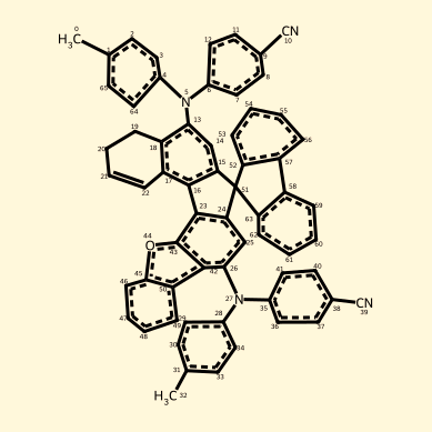 Cc1ccc(N(c2ccc(C#N)cc2)c2cc3c(c4c2CCC=C4)-c2c(cc(N(c4ccc(C)cc4)c4ccc(C#N)cc4)c4c2oc2ccccc24)C32c3ccccc3-c3ccccc32)cc1